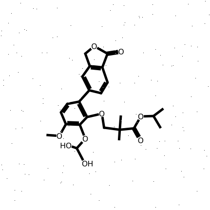 COc1ccc(-c2ccc3c(c2)COC3=O)c(OCC(C)(C)C(=O)OC(C)C)c1OC(O)O